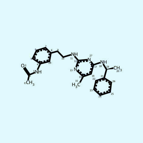 CC(=O)Nc1cccc(CCNc2nc(C)cc(N[C@@H](C)c3ccccc3)n2)c1